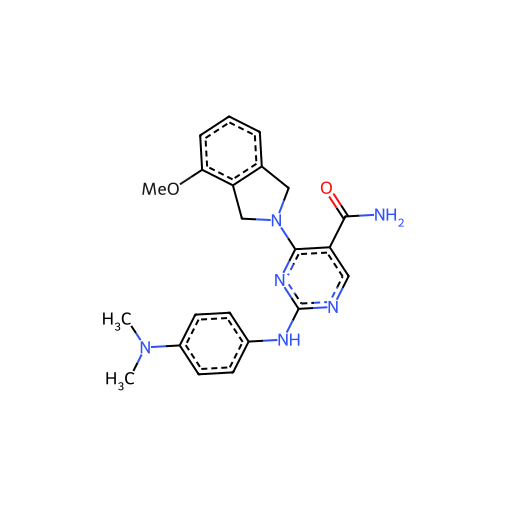 COc1cccc2c1CN(c1nc(Nc3ccc(N(C)C)cc3)ncc1C(N)=O)C2